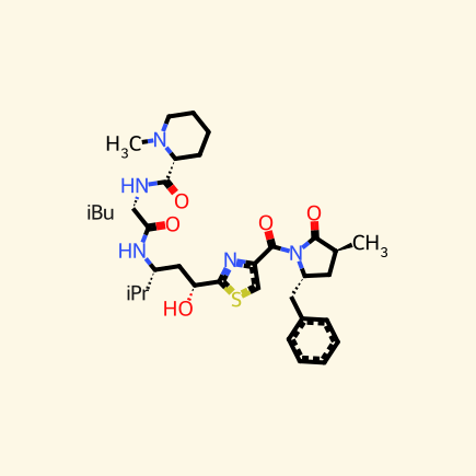 CC[C@H](C)[C@H](NC(=O)[C@H]1CCCCN1C)C(=O)N[C@H](C[C@@H](O)c1nc(C(=O)N2C(=O)[C@@H](C)C[C@@H]2Cc2ccccc2)cs1)C(C)C